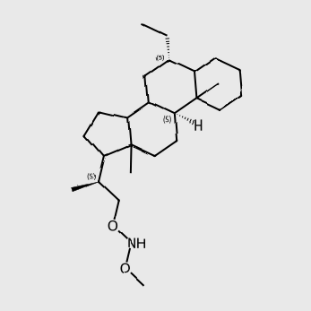 CC[C@H]1CC2C3CCC([C@H](C)CONOC)C3(C)CC[C@@H]2C2(C)CCCCC12